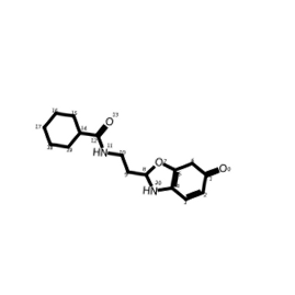 O=C1C=CC2=C(C1)OC(CCNC(=O)C1CCCCC1)N2